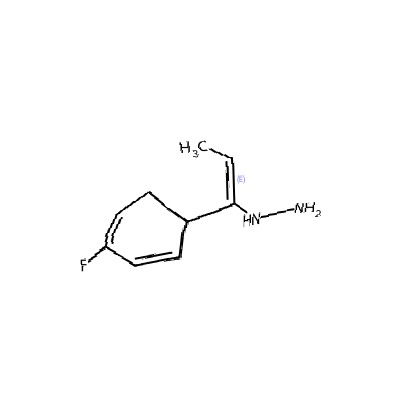 C/C=C(/NN)C1C=CC(F)=CC1